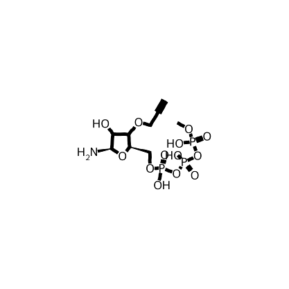 C#CCOC1C(O)[C@H](N)O[C@@H]1COP(=O)(O)OP(=O)(O)OP(=O)(O)OC